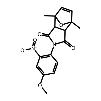 COc1ccc(N2C(=O)C3C(C2=O)C2(C)C=CC3(C)O2)c([N+](=O)[O-])c1